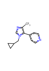 FC(F)(F)c1ncn(CC2CC2)c1-c1ccncc1